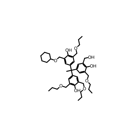 CCCOCc1cc(C(C)(c2cc(COCCC)c(O)c(COCCC)c2)c2cc(COCCC)c(O)c(COC3CCCCC3)c2)cc(CO)c1O